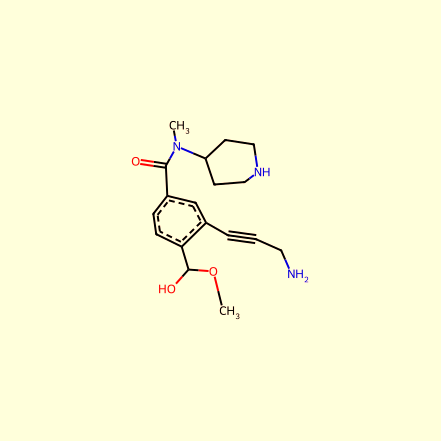 COC(O)c1ccc(C(=O)N(C)C2CCNCC2)cc1C#CCN